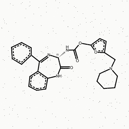 O=C(N[C@H]1N=C(c2ccccc2)c2ccccc2NC1=O)Oc1ccc(CN2CCCCC2)o1